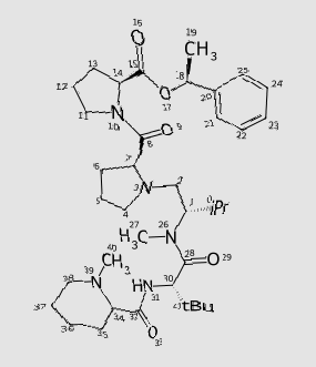 CC(C)[C@@H](CN1CCC[C@H]1C(=O)N1CCC[C@H]1C(=O)O[C@@H](C)c1ccccc1)N(C)C(=O)[C@@H](NC(=O)C1CCCCN1C)C(C)(C)C